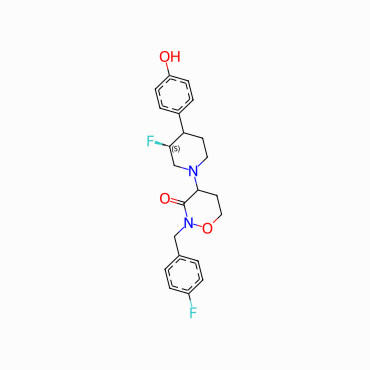 O=C1C(N2CCC(c3ccc(O)cc3)[C@H](F)C2)CCON1Cc1ccc(F)cc1